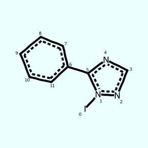 In1ncnc1-c1ccccc1